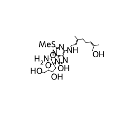 CSc1nc(NC/C=C(\C)CCC=C(C)CO)c2ncn([C@]3(C(N)=O)O[C@H](CO)[C@@H](O)[C@H]3O)c2n1